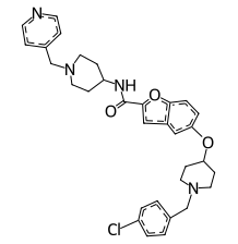 O=C(NC1CCN(Cc2ccncc2)CC1)c1cc2cc(OC3CCN(Cc4ccc(Cl)cc4)CC3)ccc2o1